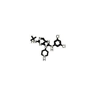 CC(C)(C)Nc1ncc2nc(Nc3cc(Cl)cc(Cl)c3)n(C3CCNCC3)c2n1